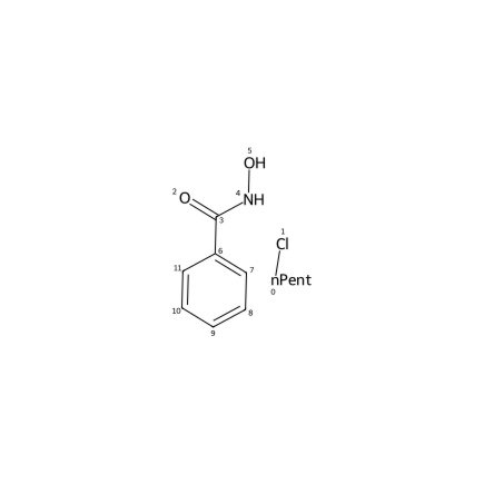 CCCCCCl.O=C(NO)c1ccccc1